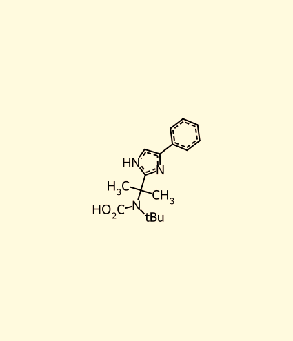 CC(C)(C)N(C(=O)O)C(C)(C)c1nc(-c2ccccc2)c[nH]1